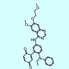 CCN(c1ccccc1)c1ccc(Nc2ncnc3cc(OCCOC)c(OC)cc23)cc1C1=CC(=O)C=CC1=O